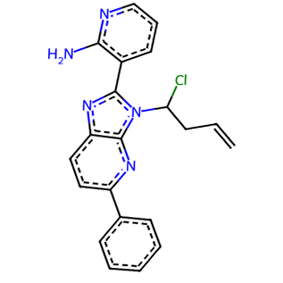 C=CCC(Cl)n1c(-c2cccnc2N)nc2ccc(-c3ccccc3)nc21